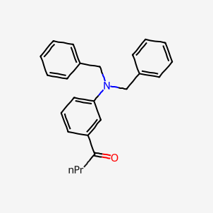 CCCC(=O)c1cccc(N(Cc2ccccc2)Cc2ccccc2)c1